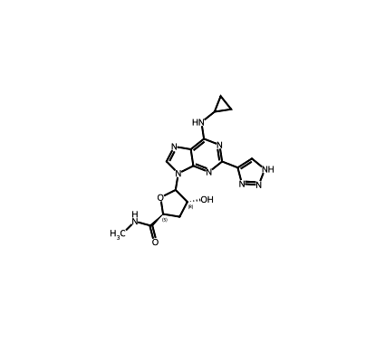 CNC(=O)[C@@H]1C[C@@H](O)C(n2cnc3c(NC4CC4)nc(-c4c[nH]nn4)nc32)O1